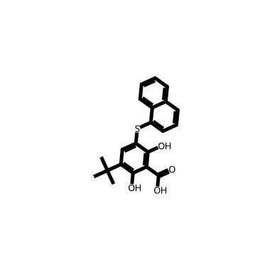 CC(C)(C)c1cc(Sc2cccc3ccccc23)c(O)c(C(=O)O)c1O